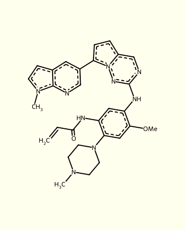 C=CC(=O)Nc1cc(Nc2ncc3ccc(-c4cnc5c(ccn5C)c4)n3n2)c(OC)cc1N1CCN(C)CC1